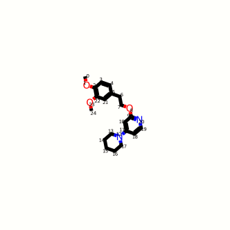 COc1ccc(CCOc2cc(N3CCCCC3)ccn2)cc1OC